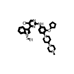 CCSn1cc(-c2nc(Nc3ccc(N4CCC(N5CCN(C)CC5)CC4)c(OC4CCCC4)c3)ncc2Cl)c2ccccc21